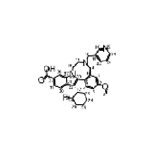 COc1ccc2c(c1)CN(Cc1cccnc1)CCn1c-2c([C@@H]2CCCC[C@H]2F)c2ccc(C(=O)O)cc21